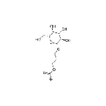 [2H]C(=O)OCCCO[C@@H]1O[C@H](CO)[C@@H](O)[C@H](O)[C@H]1O